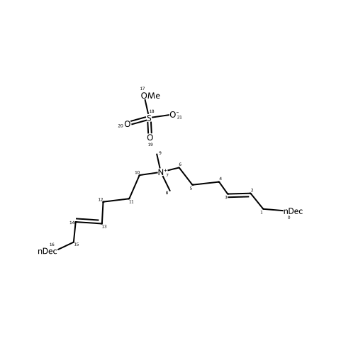 CCCCCCCCCCCC=CCCC[N+](C)(C)CCCC=CCCCCCCCCCCC.COS(=O)(=O)[O-]